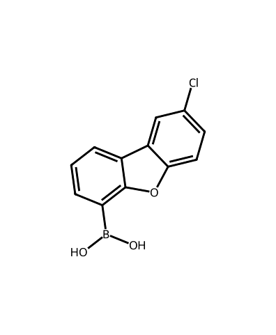 OB(O)c1cccc2c1oc1ccc(Cl)cc12